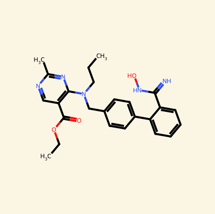 CCCN(Cc1ccc(-c2ccccc2C(=N)NO)cc1)c1nc(C)ncc1C(=O)OCC